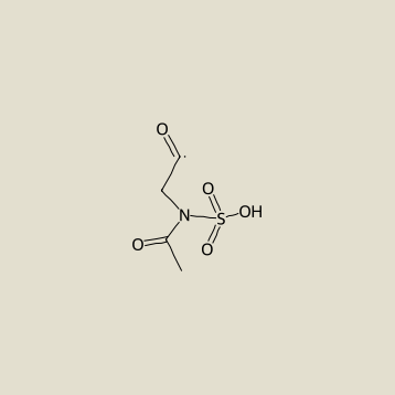 CC(=O)N(C[C]=O)S(=O)(=O)O